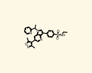 CCNS(=O)(=O)c1ccc(-c2cn(C(C)c3ccccn3)c3cc(-c4c(C)noc4C)cnc23)cc1